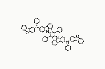 c1ccc(-c2c3c4cccc5c6cc(N(c7ccccc7)c7ccc8oc9ccccc9c8c7)ccc6n(c3c(-c3ccccc3)c3c6cccc7c8cc(N(c9ccccc9)c9ccc%10oc%11ccccc%11c%10c9)ccc8n(c23)c76)c54)cc1